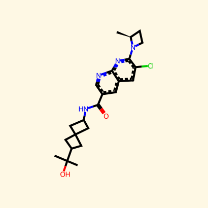 C[C@H]1CCN1c1nc2ncc(C(=O)NC3CC4(C3)CC(C(C)(C)O)C4)cc2cc1Cl